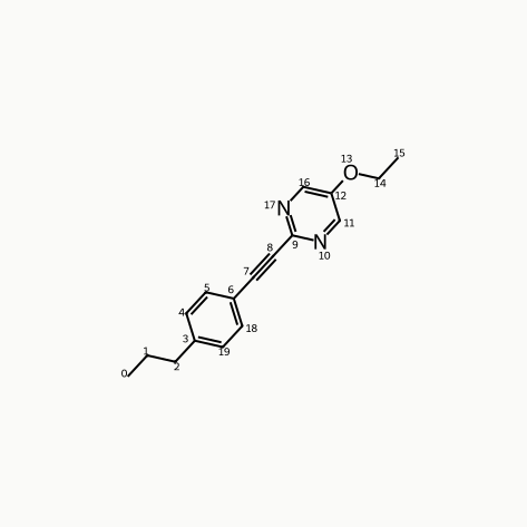 CCCc1ccc(C#Cc2ncc(OCC)cn2)cc1